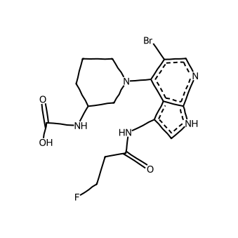 O=C(O)NC1CCCN(c2c(Br)cnc3[nH]cc(NC(=O)CCF)c23)C1